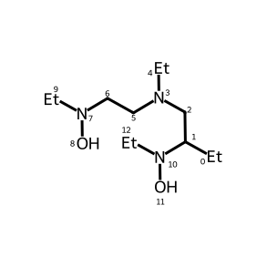 CCC(CN(CC)CCN(O)CC)N(O)CC